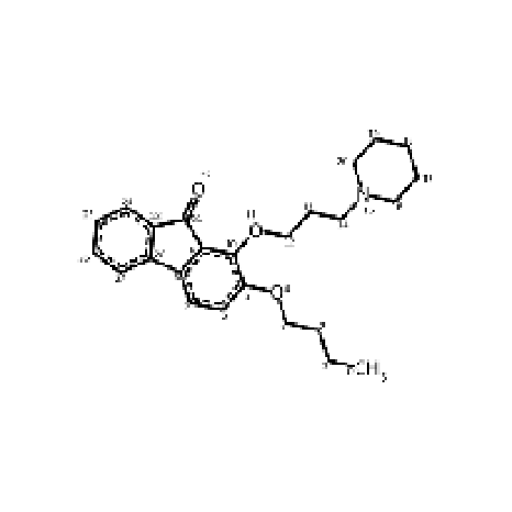 CCCCOc1ccc2c(c1OCCCN1CCCCC1)C(=O)c1ccccc1-2